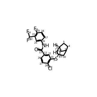 C[C@@]1(O)C2CC[C@H]1C[C@H](Sc1cc(C(=O)Nc3ccc(F)c(C(F)F)c3)ccc1Cl)C2